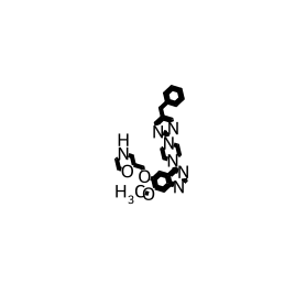 COc1cc2ncnc(N3CCN(c4ncc(Cc5ccccc5)cn4)CC3)c2cc1OCC1CNCCO1